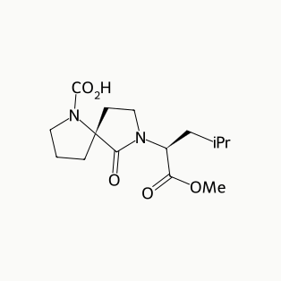 COC(=O)[C@H](CC(C)C)N1CC[C@]2(CCCN2C(=O)O)C1=O